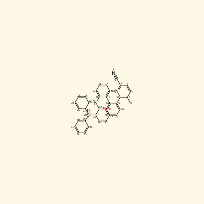 CC1C=CC(C#N)=NC1c1ccccc1-c1ccccc1N1C2C=CC=CC2[SiH](c2ccccc2)C2C=CC=CC21